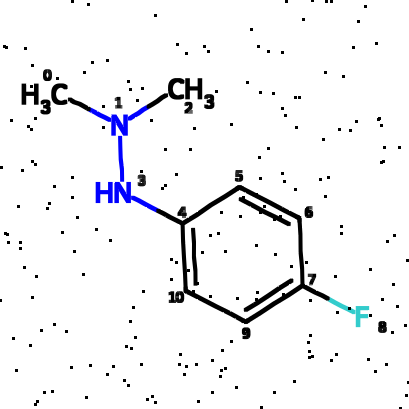 CN(C)Nc1ccc(F)cc1